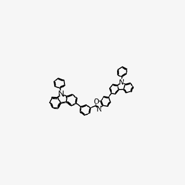 c1ccc(-n2c3ccccc3c3cc(-c4cccc(-c5nc6ccc(-c7ccc8c(c7)c7ccccc7n8-c7ccccc7)cc6o5)c4)ccc32)cc1